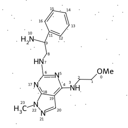 COCCNc1nc(NCC(N)c2ccccc2)nc2c1cnn2C